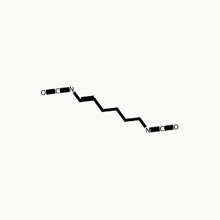 O=C=NC=CCCCCN=C=O